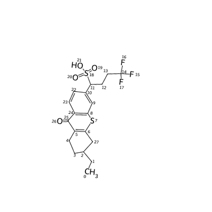 CCC1CCc2c(sc3cc(C(CCC(F)(F)F)S(=O)(=O)O)ccc3c2=O)C1